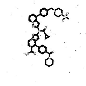 CS(=O)(=O)N1CCN(Cc2ccc(-c3cccn4nc(N(C(=O)C5CC5)c5cc6c(-c7ccc(C(=O)N8CCCCC8)cc7)c(C(N)=O)ccn6n5)cc34)cc2)CC1